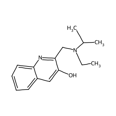 CCN(Cc1nc2ccccc2cc1O)C(C)C